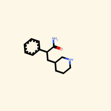 NC(=O)C(CC1CCCNC1)c1ccccc1